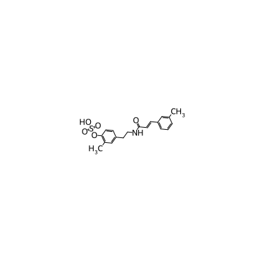 Cc1cccc(/C=C/C(=O)NCCc2ccc(OS(=O)(=O)O)c(C)c2)c1